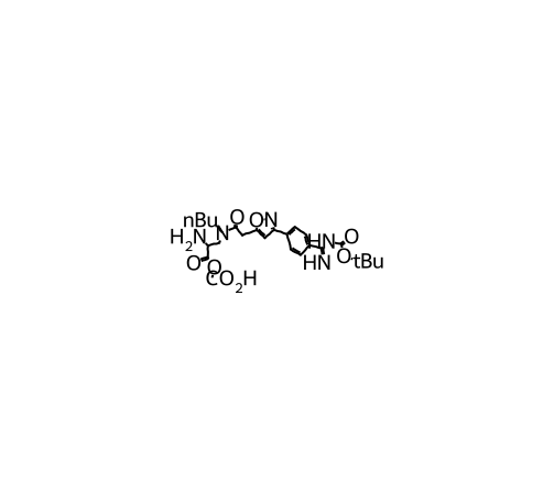 CCCCN(CC(N)C(=O)OC(=O)O)C(=O)Cc1cc(-c2ccc(C(=N)NC(=O)OC(C)(C)C)cc2)no1